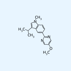 COc1cnc(-c2ccc3c(c2)c(C(C)C)cn3C)nc1